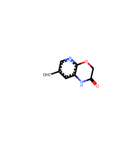 O=Cc1cnc2c(c1)NC(=O)CO2